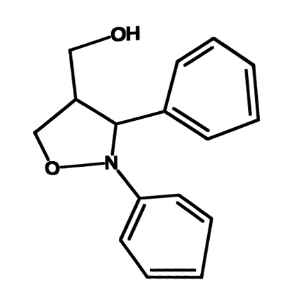 OCC1CON(c2ccccc2)C1c1ccccc1